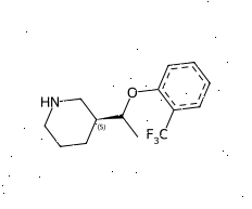 CC(Oc1ccccc1C(F)(F)F)[C@H]1CCCNC1